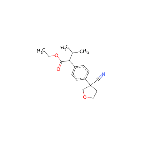 CCOC(=O)C(c1ccc(C2(C#N)CCOC2)cc1)C(C)C